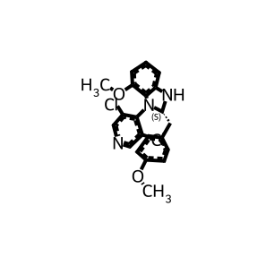 COc1ccc(C[C@H]2Nc3cccc(OC)c3N2c2c(Cl)cncc2Cl)cc1